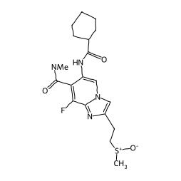 CNC(=O)c1c(NC(=O)C2CCCCC2)cn2cc(CC[S+](C)[O-])nc2c1F